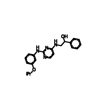 CC(C)Oc1cccc(Nc2nccc(NCC(O)c3ccccc3)n2)c1